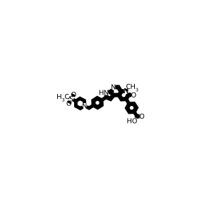 Cn1c(=O)c(-c2ccc(C(=O)O)cc2)cc2c3cc(-c4ccc(CN5CCC(S(C)(=O)=O)CC5)cc4)[nH]c3ncc21